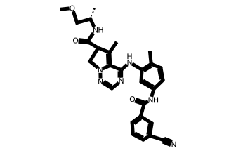 COC[C@H](C)NC(=O)C1CN2N=CN=C(Nc3cc(NC(=O)c4cccc(C#N)c4)ccc3C)C2=C1C